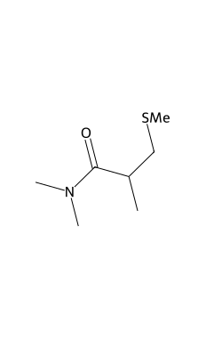 CSCC(C)C(=O)N(C)C